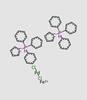 [Cl][Pd][Cl].[Fe+2].c1ccc([PH](c2ccccc2)(c2ccccc2)[c-]2cccc2)cc1.c1ccc([PH](c2ccccc2)(c2ccccc2)[c-]2cccc2)cc1